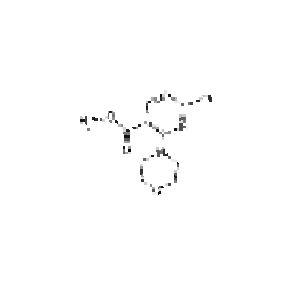 COC(=O)c1ccc(Cl)nc1N1CCOCC1